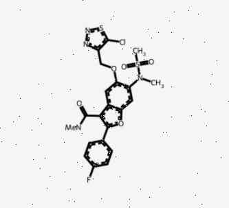 CNC(=O)c1c(-c2ccc(F)cc2)oc2cc(N(C)S(C)(=O)=O)c(OCc3nnsc3Cl)cc12